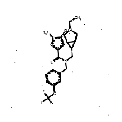 CCN1CC2C(C1)C2CN(Cc1cccc(OC(F)(F)F)c1)C(=O)c1cc(C)n(C)n1